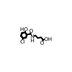 O=C(O)CCCNC(=O)c1cc(Cl)ccc1O